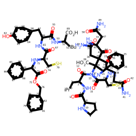 CC(C)CC(NC(=O)C1CCCN1)C(=O)N(C(=O)C(N)CS)C(Cc1ccccc1)(C(=O)O)C(CC(N)=O)(C(=O)C(N)CCC(N)=O)C(=O)C(N)CC(N)=O.CCC(C)C(NC(=O)C(Cc1ccc(O)cc1)NC(=O)C(CS)NC(C(=O)OCc1ccccc1)c1ccccc1)C(=O)O